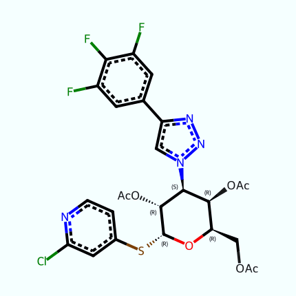 CC(=O)OC[C@H]1O[C@H](Sc2ccnc(Cl)c2)[C@H](OC(C)=O)[C@@H](n2cc(-c3cc(F)c(F)c(F)c3)nn2)[C@H]1OC(C)=O